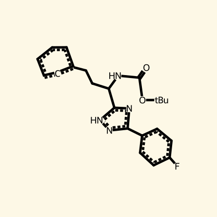 CC(C)(C)OC(=O)NC(CCc1ccccc1)c1nc(-c2ccc(F)cc2)n[nH]1